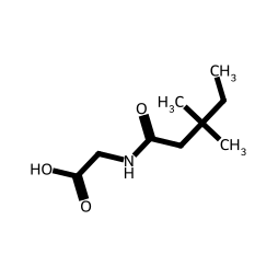 CCC(C)(C)CC(=O)NCC(=O)O